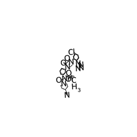 CCC(=O)Oc1c(NC(=O)N2CCC(C#N)CC2)cccc1N1CCN(c2cc(Cl)ccc2-n2cnnn2)C(=O)C1=O